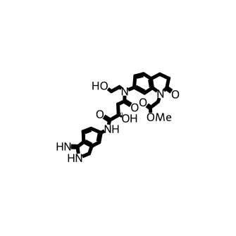 COC(=O)CN1C(=O)CCc2ccc(N(CCO)C(=O)C[C@@H](O)C(=O)Nc3ccc4c(c3)CNC4=N)cc21